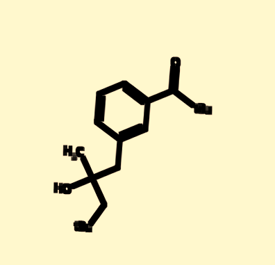 CC(C)(C)CC(C)(O)Cc1cccc(C(=O)C(C)(C)C)c1